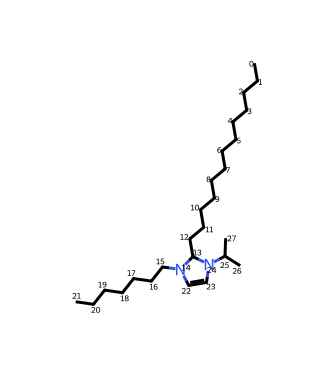 CCCCCCCCCCCCCC1N(CCCCCCC)C=CN1C(C)C